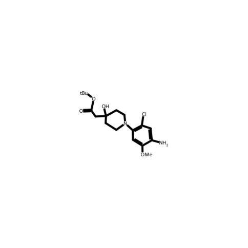 COc1cc(N2CCC(O)(CC(=O)OC(C)(C)C)CC2)c(Cl)cc1N